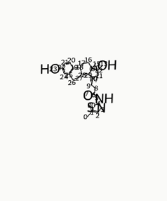 Cc1cnc(NC(=O)CC[C@@H]2C[C](O)[C@@]3(C)CCC4c5ccc(O)cc5CCC4C23)s1